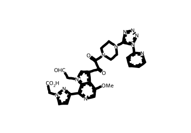 COc1cnc(-c2ccn(CC(=O)O)n2)c2c1c(C(=O)C(=O)N1CCN(c3nnnn3-c3ccccn3)CC1)cn2CC=O